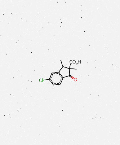 CC1c2cc(Cl)ccc2C(=O)C1(C)C(=O)O